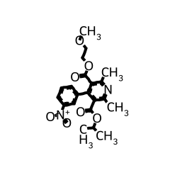 COCCOC(=O)c1c(C)nc(C)c(C(=O)OC(C)C)c1-c1cccc([N+](=O)[O-])c1